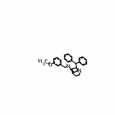 COc1cccc(CN=C2C3CCN(CC3)C2C(c2ccccc2)c2ccccc2)c1